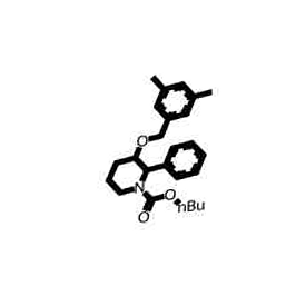 CCCCOC(=O)N1CCCC(OCc2cc(C)cc(C)c2)C1c1ccccc1